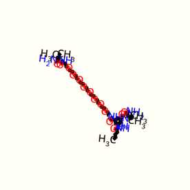 CCCCC(=O)Nc1cc(C(=O)NCCOCCOCCOCCOCCOCCOCCOCCOCCC(=O)N[C@H](C(N)=O)C(C)C)cc(C(=O)N[C@H](C(N)=O)C(C)C)c1